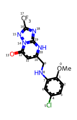 COc1ccc(Cl)cc1NCc1cc(=O)n2nc(C(F)(F)F)nc2[nH]1